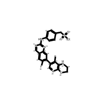 CCS(=O)(=O)Cc1ccc(Nc2ncc3cc(F)c(-c4cnc5c(c4C)NCCO5)cc3n2)cc1